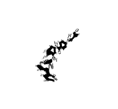 C=C(C=O)CNc1ccc(C(=O)Nc2cccc(Nc3nccc(-c4cccnc4)n3)c2)cc1